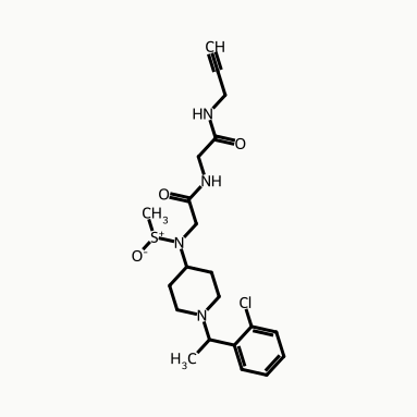 C#CCNC(=O)CNC(=O)CN(C1CCN(C(C)c2ccccc2Cl)CC1)[S+](C)[O-]